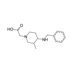 CC1CN(CC(=O)O)CCC1NCc1ccccc1